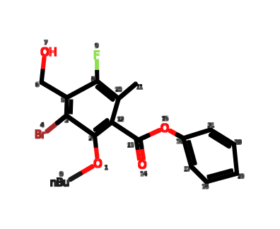 CCCCOc1c(Br)c(CO)c(F)c(C)c1C(=O)Oc1ccccc1